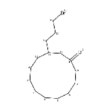 O=C1CCCCCCCCCC(CCCBr)C1